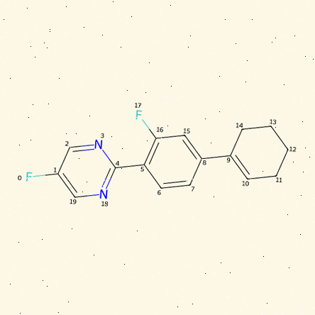 Fc1cnc(-c2ccc(C3=CCCCC3)cc2F)nc1